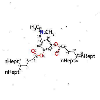 CCCCCCCC(CCCCCCC)CCCC(=O)Oc1cc(CN(C)C)cc(OC(=O)CCCC(CCCCCCC)CCCCCCC)c1